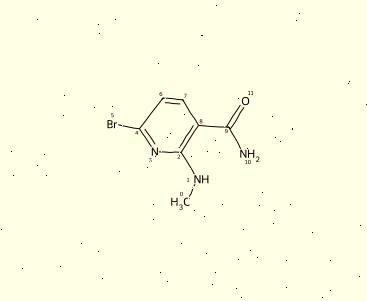 CNc1nc(Br)ccc1C(N)=O